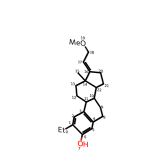 CCc1cc2c(cc1O)CCC1C2CCC2(C)/C(=C/COC)CCC12